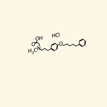 CN(CCCc1ccc(OCCCCCc2ccccc2)cc1)CC(=O)O.Cl